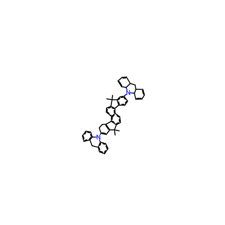 CC1(C)C2=C(CCC(N3c4ccccc4Cc4ccccc43)=C2)c2c1ccc1c3c(ccc21)C(C)(C)c1cc(N2C4C=CC=CC4CC4C=CC=CC42)ccc1-3